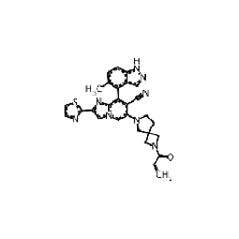 C=CC(=O)N1CC2(CCN(c3cn4cc(-c5nccs5)nc4c(-c4c(C)ccc5[nH]ncc45)c3C#N)C2)C1